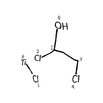 OC(Cl)CCl.[Cl][Ti]